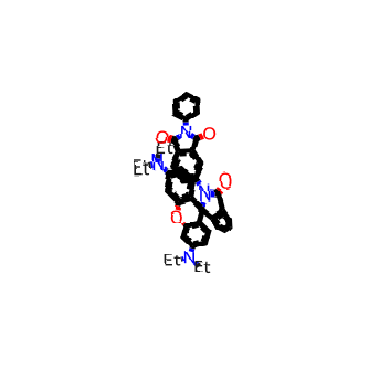 CCN(CC)c1ccc2c(c1)Oc1cc(N(CC)CC)ccc1C21c2ccccc2C(=O)N1c1ccc2c(c1)C(=O)N(c1ccccc1)C2=O